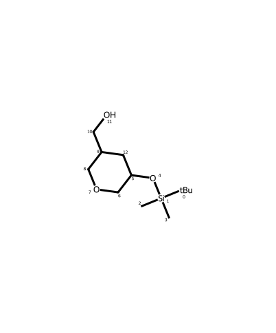 CC(C)(C)[Si](C)(C)OC1COCC(CO)C1